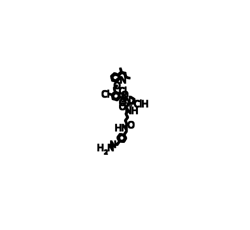 Cc1cc(C)c2cccc(OCc3c(Cl)ccc(S(=O)(=O)N4CCC[C@H]4C(=O)NCCCC(=O)NCc4ccc(C=NN)cc4)c3Cl)c2n1.Cl